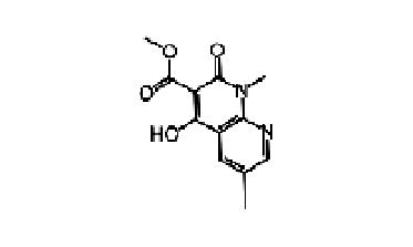 COC(=O)c1c(O)c2cc(I)cnc2n(C)c1=O